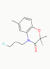 Cc1ccc2c(c1)N(CCCF)C(=O)C(C)(C)O2